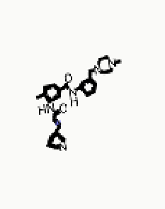 Cc1ccc(C(=O)Nc2cccc(CN3CCN(C)CC3)c2)cc1NC(=O)/C=C/c1cccnc1